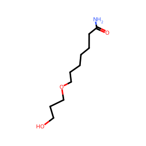 NC(=O)CCCCCCOCCCO